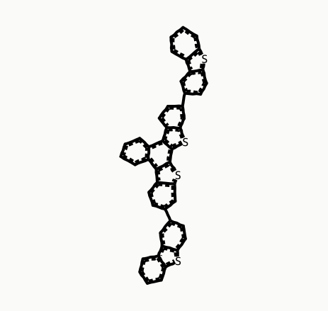 c1ccc2c(c1)sc1ccc(-c3ccc4c(c3)sc3c5sc6cc(-c7ccc8sc9ccccc9c8c7)ccc6c5c5ccccc5c43)cc12